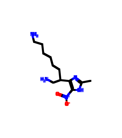 Cc1nc(C(CN)CCCCCCN)c([N+](=O)[O-])[nH]1